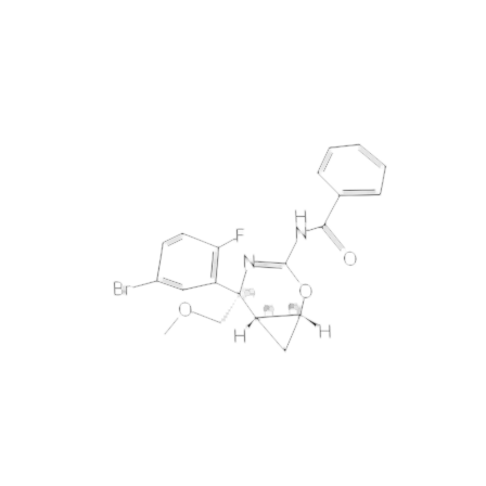 COC[C@]1(c2cc(Br)ccc2F)N=C(NC(=O)c2ccccc2)O[C@@H]2C[C@@H]21